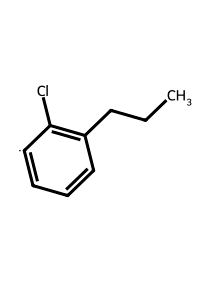 CCCc1ccc[c]c1Cl